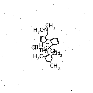 Cc1cc(C)c([N]([Ti+2])C(C)(C)c2ccccc2C2=C(CN(C)C)C=CC2)c(C)c1.[Cl-].[Cl-]